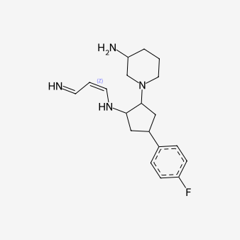 N=C/C=C\NC1CC(c2ccc(F)cc2)CC1N1CCCC(N)C1